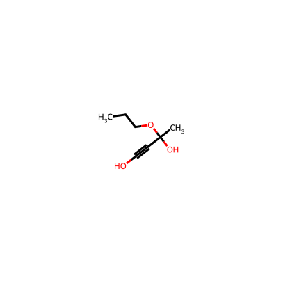 CCCOC(C)(O)C#CO